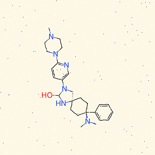 CN1CCN(c2ccc(N3C[C@]4(CC[C@](c5ccccc5)(N(C)C)CC4)NC3O)cn2)CC1